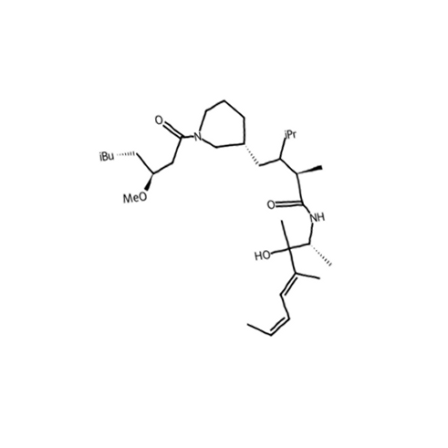 C/C=C\C=C(/C)C(C)(O)[C@@H](C)NC(=O)[C@H](C)C(C[C@H]1CCCN(C(=O)C[C@H](C[C@@H](C)CC)OC)C1)C(C)C